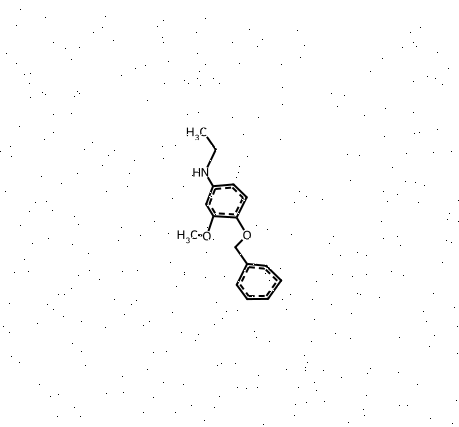 CCNc1ccc(OCc2ccccc2)c(OC)c1